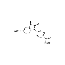 CNC(=O)c1ccc(-n2c(=O)[nH]c3cc(OC)ccc32)cn1